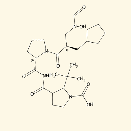 CC(C)(C)C1C(C(=O)NC(=O)[C@@H]2CCCN2C(=O)[C@H](CC2CCCC2)CN(O)C=O)CCN1C(=O)O